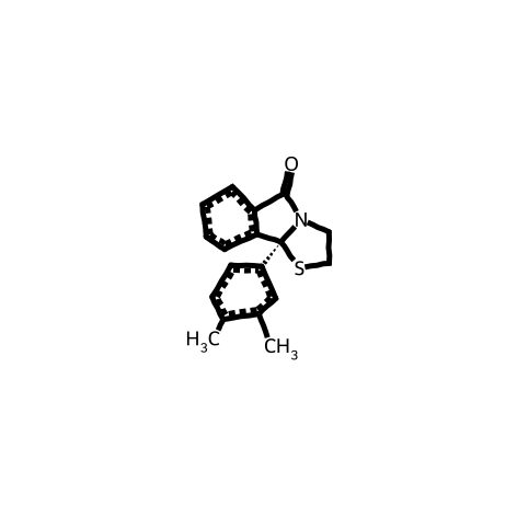 Cc1ccc([C@@]23SCCN2C(=O)c2ccccc23)cc1C